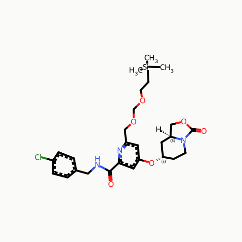 C[Si](C)(C)CCOCOCc1cc(O[C@H]2CCN3C(=O)OC[C@@H]3C2)cc(C(=O)NCc2ccc(Cl)cc2)n1